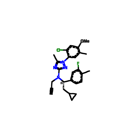 C#CCN(c1nc(C)n(-c2cc(C)c(OC)cc2Cl)n1)[C@@H](CC1CC1)c1ccc(C)c(F)c1